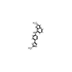 Cc1ncc(-c2ccc(Nc3cccc4cn(C)nc34)cc2)o1